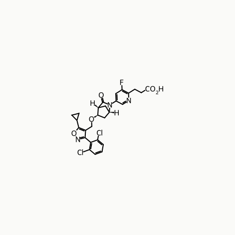 O=C(O)CCc1ncc(N2C(=O)[C@@H]3C[C@H]2C[C@H]3OCc2c(-c3c(Cl)cccc3Cl)noc2C2CC2)cc1F